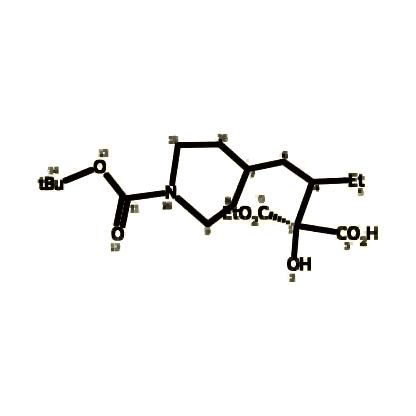 CCOC(=O)[C@@](O)(C(=O)O)C(CC)CC1CCN(C(=O)OC(C)(C)C)CC1